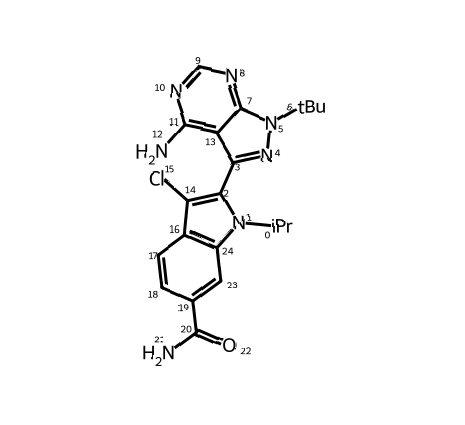 CC(C)n1c(-c2nn(C(C)(C)C)c3ncnc(N)c23)c(Cl)c2ccc(C(N)=O)cc21